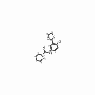 S=C(Nc1ccc(Cl)c(C2OCCO2)c1)N1CCCC=N1